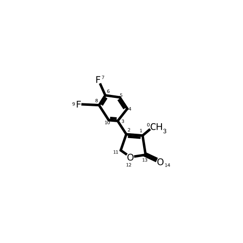 CC1=C(c2ccc(F)c(F)c2)COC1=O